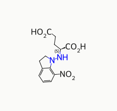 O=C(O)CC[C@H](NN1CCc2cccc([N+](=O)[O-])c21)C(=O)O